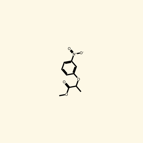 COC(=O)C(C)Oc1cccc([N+](=O)[O-])c1